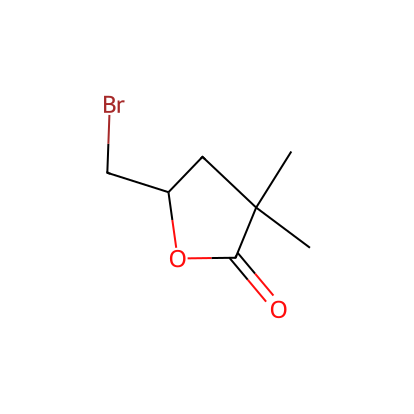 CC1(C)CC(CBr)OC1=O